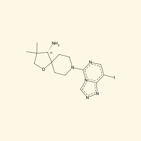 CC1(C)COC2(CCN(c3ncc(I)c4nncn34)CC2)[C@H]1N